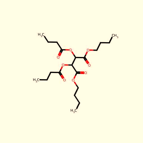 CCCCOC(=O)C(OC(=O)CCC)C(OC(=O)CCC)C(=O)OCCCC